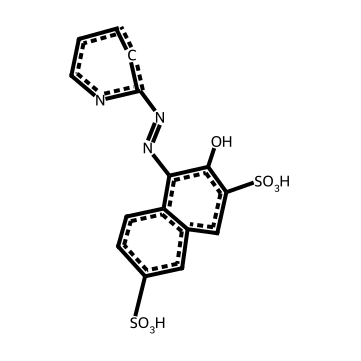 O=S(=O)(O)c1ccc2c(N=Nc3ccccn3)c(O)c(S(=O)(=O)O)cc2c1